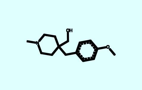 COc1ccc(CC2(CO)CCN(C)CC2)cc1